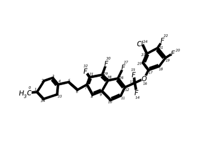 CC1CC=C(CCc2cc3ccc(C(F)(F)Oc4cc(F)c(F)c(Cl)c4)c(F)c3c(F)c2F)CC1